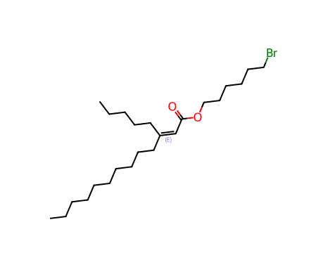 CCCCCCCCCC/C(=C/C(=O)OCCCCCCBr)CCCCC